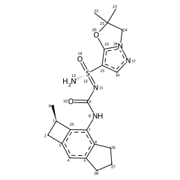 C[C@@H]1Cc2cc3c(c(NC(=O)N=[S@@](N)(=O)c4cnn5c4OC(C)(C)C5)c21)CCC3